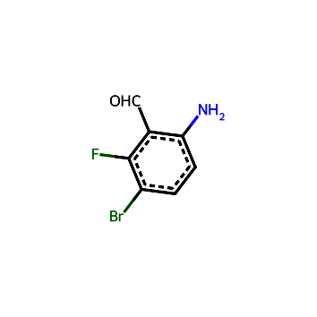 Nc1ccc(Br)c(F)c1C=O